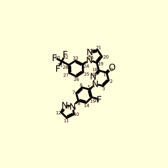 O=c1ccn(-c2ccc(-n3cccn3)cc2F)nc1-c1ccnn1-c1cccc(C(F)(F)F)c1